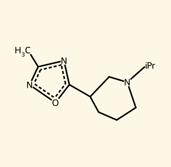 Cc1noc(C2CCCN(C(C)C)C2)n1